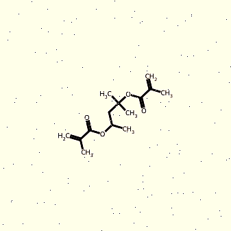 C=C(C)C(=O)OC(C)CC(C)(C)OC(=O)C(=C)C